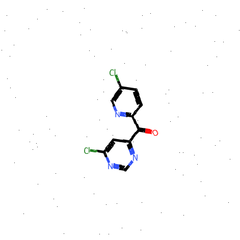 O=C(c1ccc(Cl)cn1)c1cc(Cl)ncn1